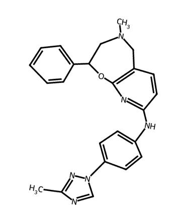 Cc1ncn(-c2ccc(Nc3ccc4c(n3)OC(c3ccccc3)CN(C)C4)cc2)n1